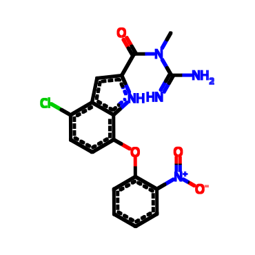 CN(C(=N)N)C(=O)c1cc2c(Cl)ccc(Oc3ccccc3[N+](=O)[O-])c2[nH]1